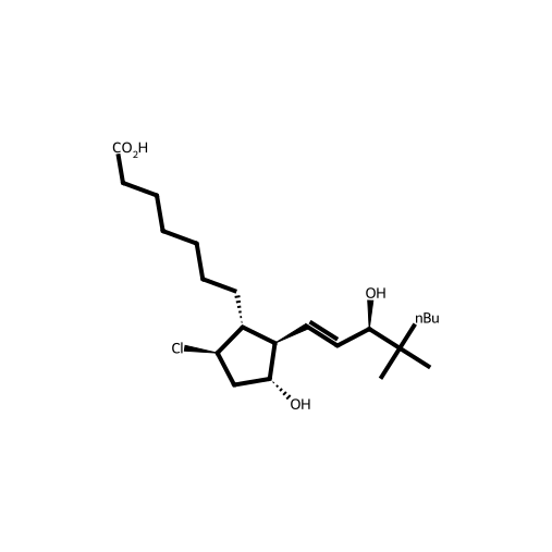 CCCCC(C)(C)[C@H](O)/C=C/[C@@H]1[C@@H](CCCCCCC(=O)O)[C@H](Cl)C[C@H]1O